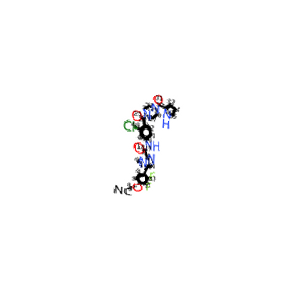 Cn1c(-c2ccc(OCC#N)c(F)c2F)cnc1C(=O)Nc1ccc(C(=O)N2CCN(C(=O)[C@H]3CCCN3)CC2)c(Cl)c1